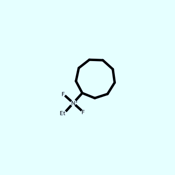 CC[N+](F)(F)C1CCCCCCCC1